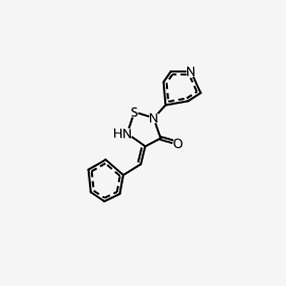 O=C1/C(=C/c2ccccc2)NSN1c1ccncc1